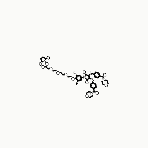 O=C(COCCOCCOCCOc1c(F)cc(N2C(=O)C(Sc3ccc(C(=O)N4CCOCC4)cc3)=C(Sc3ccc(C(=O)N4CCOCC4)cc3)C2=O)cc1F)ON1C(=O)CCC1=O